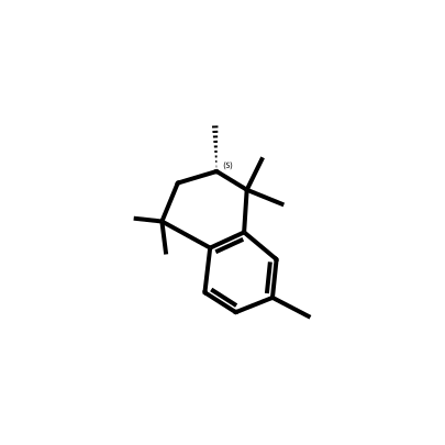 Cc1ccc2c(c1)C(C)(C)[C@@H](C)CC2(C)C